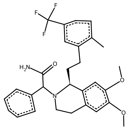 COc1cc2c(cc1OC)[C@H](CCc1cc(C(F)(F)F)ccc1C)N(C(C(N)=O)c1ccccc1)CC2